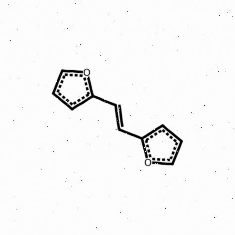 [C](=C\c1ccco1)/c1ccco1